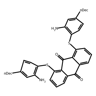 CCCCCCCCCCc1ccc(Sc2cccc3c2C(=O)c2c(Sc4ccc(CCCCCCCCCC)cc4N)cccc2C3=O)c(N)c1